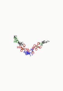 Cl.N.N.N.O=S(=O)(O)O.O=S(=O)([O-])[O-].O=[N+]([O-])[O-].[Ca+2].[Cl-].[Cl-].[Cl-].[K+].[K+].[Na+].[Na+]